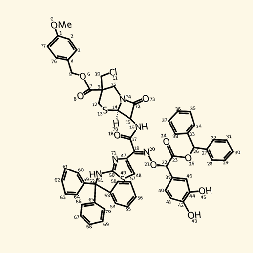 COc1ccc(COC(=O)C2(CCl)CS[C@@H]3C(NC(=O)C(=NO[C@@H](C(=O)OC(c4ccccc4)c4ccccc4)c4ccc(O)c(O)c4)c4csc(NC(c5ccccc5)(c5ccccc5)c5ccccc5)n4)C(=O)N3C2)cc1